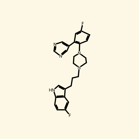 Fc1ccc(N2CCN(CCCc3c[nH]c4ccc(F)cc34)CC2)c(-c2cncnc2)c1